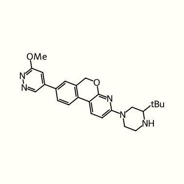 COc1cc(-c2ccc3c(c2)COc2nc(N4CCNC(C(C)(C)C)C4)ccc2-3)cnn1